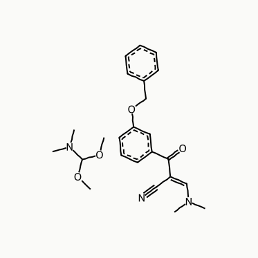 CN(C)C=C(C#N)C(=O)c1cccc(OCc2ccccc2)c1.COC(OC)N(C)C